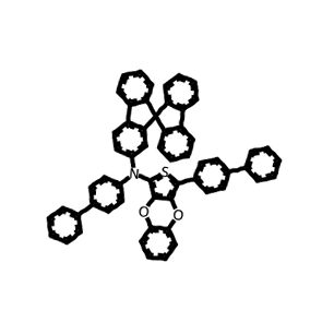 c1ccc(-c2ccc(-c3sc(N(c4ccc(-c5ccccc5)cc4)c4ccc5c(c4)C4(c6ccccc6-c6ccccc64)c4ccccc4-5)c4c3Oc3ccccc3O4)cc2)cc1